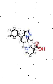 Cn1nccc1C(=CCCN1CCC=C(C(=O)O)C1)c1ccccc1